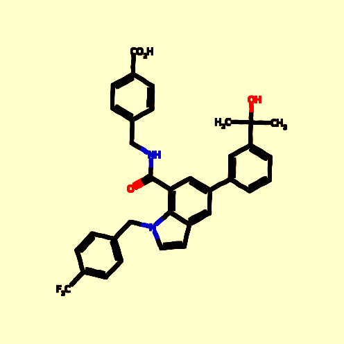 CC(C)(O)c1cccc(-c2cc(C(=O)NCc3ccc(C(=O)O)cc3)c3c(ccn3Cc3ccc(C(F)(F)F)cc3)c2)c1